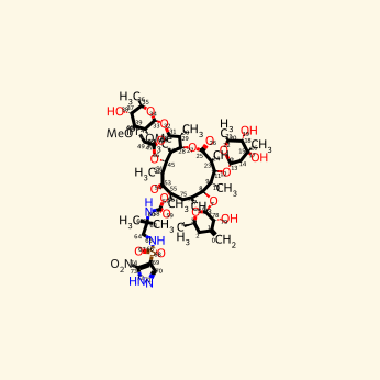 C=C1C[C@@H](C)O[C@@H](O[C@@H]2[C@@H](C)[C@H](O[C@H]3C[C@@](C)(O)[C@@H](O)[C@H](C)O3)[C@@H](C)C(=O)O[C@H]([C@@H](C)CO[C@@H]3O[C@H](C)[C@@H](O)[C@@H](OC)[C@H]3OC)[C@H](C)[C@@H](OC(=O)CC(C)C)[C@@H](C)C(=O)[C@@](C)(OC(=O)NC(C)(C)CNS(=O)(=O)c3cn[nH]c3[N+](=O)[O-])C[C@@H]2C)[C@@H]1O